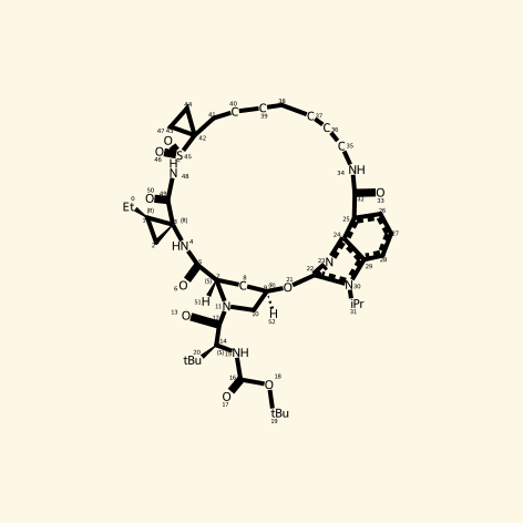 CC[C@@H]1C[C@@]12NC(=O)[C@@H]1C[C@H](CN1C(=O)[C@@H](NC(=O)OC(C)(C)C)C(C)(C)C)Oc1nc3c(cccc3n1C(C)C)C(=O)NCCCCCCCC1(CC1)S(=O)(=O)NC2=O